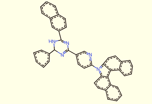 c1ccc(C2N=C(c3ccc(-n4c5ccc6ccccc6c5c5c6ccccc6ccc54)nc3)N=C(c3ccc4ccccc4c3)N2)cc1